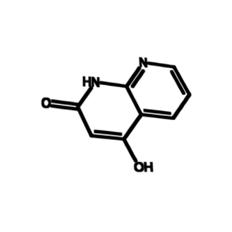 O=c1cc(O)c2cccnc2[nH]1